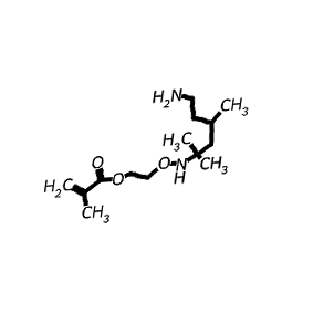 C=C(C)C(=O)OCCONC(C)(C)CC(C)CCN